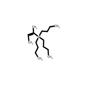 CC=C(C)[N+](CCCC)(CCCC)CCCC